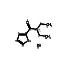 CCN(CC)C(=O)c1cccs1.[KH]